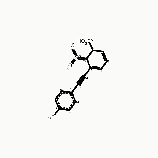 O=C(O)C1C=CC=C(C#Cc2ccc(F)cc2)C1=S(=O)=O